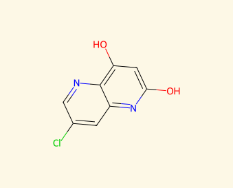 Oc1cc(O)c2ncc(Cl)cc2n1